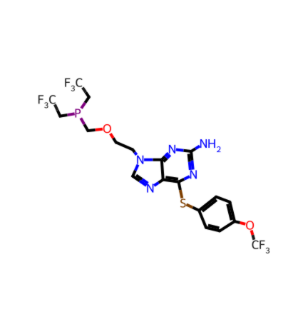 Nc1nc(Sc2ccc(OC(F)(F)F)cc2)c2ncn(CCOCP(CC(F)(F)F)CC(F)(F)F)c2n1